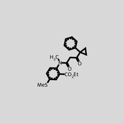 CCOC(=O)c1cc(SC)ccc1N(C)C(=O)CC(=O)C1(c2ccccc2)CC1